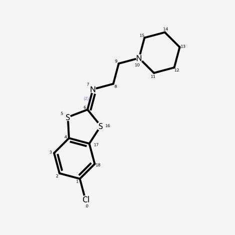 Clc1ccc2s/c(=N/CCN3CCCCC3)sc2c1